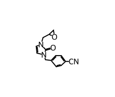 N#Cc1ccc(Cn2ccn(CC3CO3)c2=O)cc1